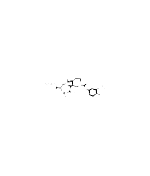 CNC(=O)C1Cn2nc3c(c2C(=O)N(C)O1)CN(C(=O)Nc1ccc(F)c(C#N)c1)CC3